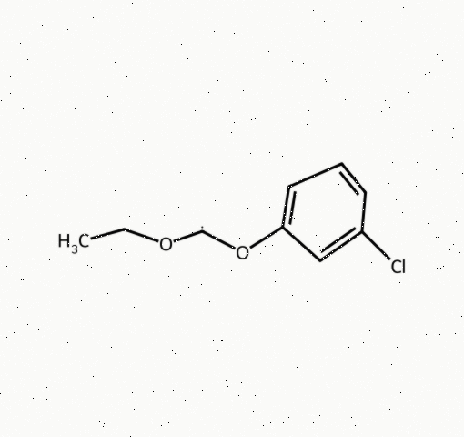 CCO[CH]Oc1cccc(Cl)c1